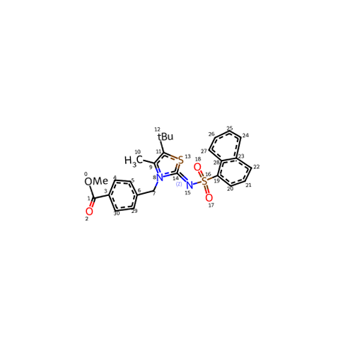 COC(=O)c1ccc(Cn2c(C)c(C(C)(C)C)s/c2=N\S(=O)(=O)c2cccc3ccccc23)cc1